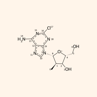 C[C@@H]1C(O)[C@@H](CO)O[C@H]1n1cnc2c(N)nc(Cl)nc21